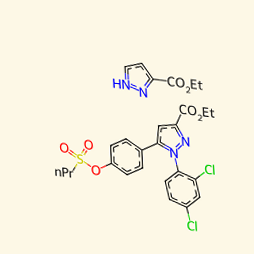 CCCS(=O)(=O)Oc1ccc(-c2cc(C(=O)OCC)nn2-c2ccc(Cl)cc2Cl)cc1.CCOC(=O)c1cc[nH]n1